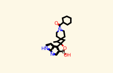 CC1C2(CCN(C(=O)C3CCCCC3)CC2)CC12OB(O)c1cnc3[nH]ccc3c12